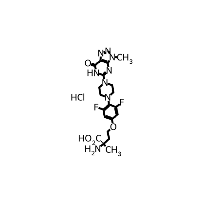 Cl.Cn1nnc2c(=O)[nH]c(N3CCN(c4c(F)cc(OCC[C@@](C)(N)C(=O)O)cc4F)CC3)nc21